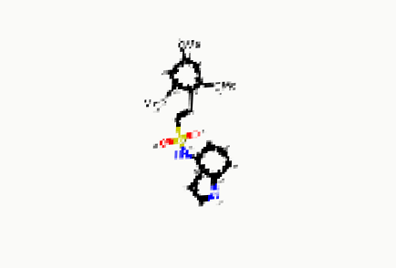 COc1cc(OC)c(C=CS(=O)(=O)Nc2cccc3[nH]ccc23)c(OC)c1